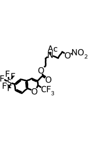 CC(=O)N(CCOC(=O)C1=Cc2cc(S(F)(F)(F)(F)F)ccc2OC1C(F)(F)F)CCO[N+](=O)[O-]